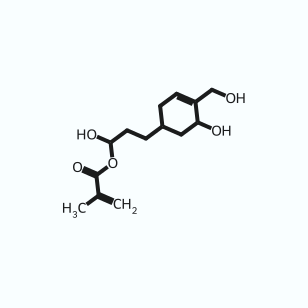 C=C(C)C(=O)OC(O)CCC1CC=C(CO)C(O)C1